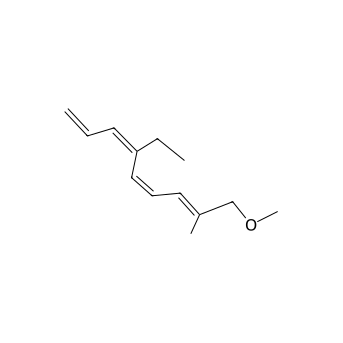 C=C\C=C(/C=C\C=C(/C)COC)CC